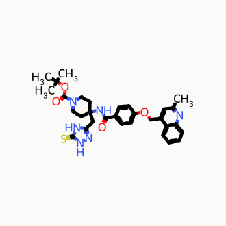 Cc1cc(COc2ccc(C(=O)NC3(Cc4n[nH]c(=S)[nH]4)CCN(C(=O)OC(C)(C)C)CC3)cc2)c2ccccc2n1